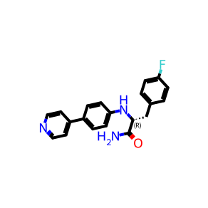 NC(=O)[C@@H](Cc1ccc(F)cc1)Nc1ccc(-c2ccncc2)cc1